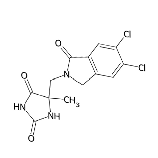 CC1(CN2Cc3cc(Cl)c(Cl)cc3C2=O)NC(=O)NC1=O